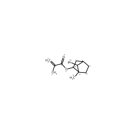 C=C(C)C(=O)OC1CC2CCC1(C)C2C(C)C